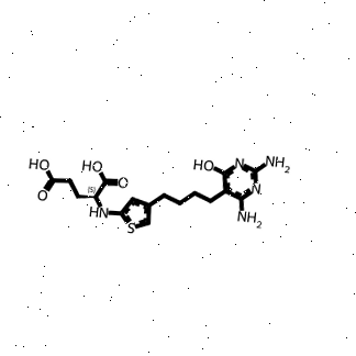 Nc1nc(N)c(CCCCc2csc(N[C@@H](CCC(=O)O)C(=O)O)c2)c(O)n1